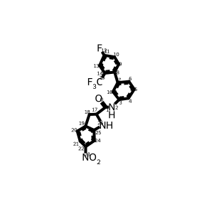 O=C(Nc1cccc(-c2ccc(F)cc2C(F)(F)F)c1)C1Cc2ccc([N+](=O)[O-])cc2N1